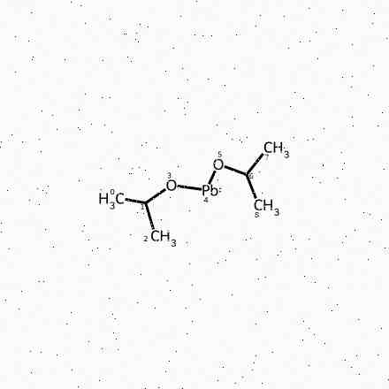 CC(C)[O][Pb][O]C(C)C